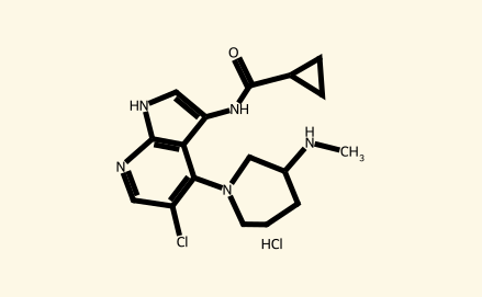 CNC1CCCN(c2c(Cl)cnc3[nH]cc(NC(=O)C4CC4)c23)C1.Cl